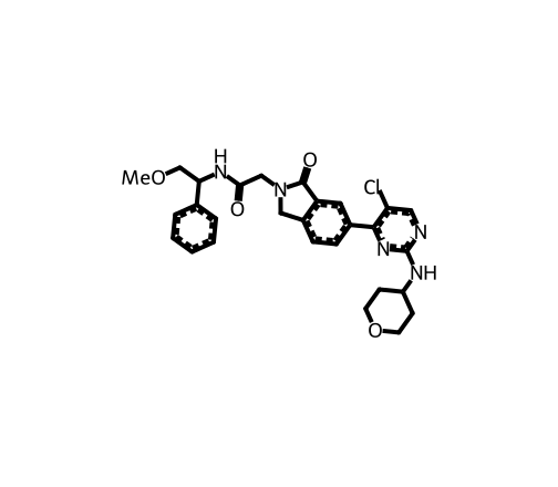 COCC(NC(=O)CN1Cc2ccc(-c3nc(NC4CCOCC4)ncc3Cl)cc2C1=O)c1ccccc1